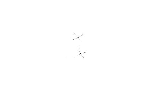 CCCC(C)(C)OOC(C)(C)C(=O)O